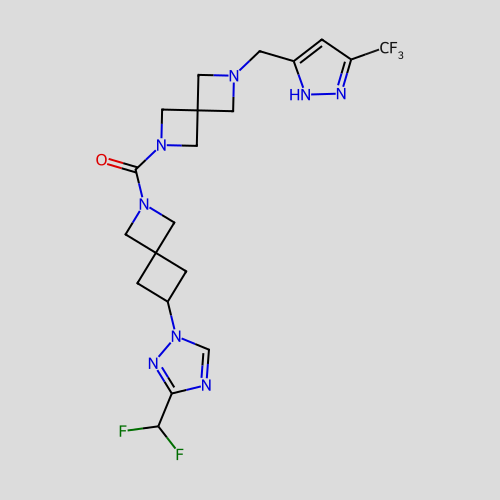 O=C(N1CC2(CC(n3cnc(C(F)F)n3)C2)C1)N1CC2(CN(Cc3cc(C(F)(F)F)n[nH]3)C2)C1